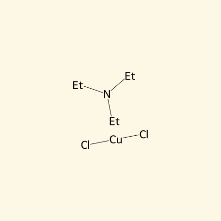 CCN(CC)CC.[Cl][Cu][Cl]